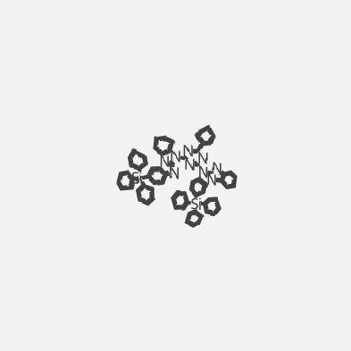 c1ccc(-c2nc(-n3c4ccccc4n4c5cc([Si](c6ccccc6)(c6ccccc6)c6ccccc6)ccc5nc34)nc(-n3c4ccc([Si](c5ccccc5)(c5ccccc5)c5ccccc5)cc4n4c5ccccc5nc34)n2)cc1